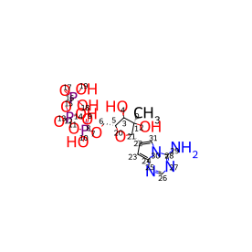 C[C@@]1(O)[C@H](O)[C@@H](COP(=O)(O)OP(=O)(O)OP(=O)(O)O)O[C@H]1c1cc2ncnc(N)n2c1